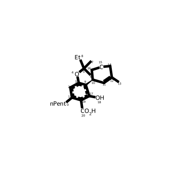 CCCCCc1cc(OC(C)(C)CC)c([C@@H]2C=C(C)CCC2)c(O)c1C(=O)O